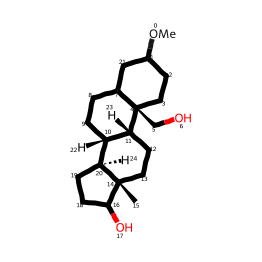 COC1CC[C@@]2(CO)C(CC[C@@H]3[C@H]2CC[C@]2(C)C(O)CC[C@@H]32)C1